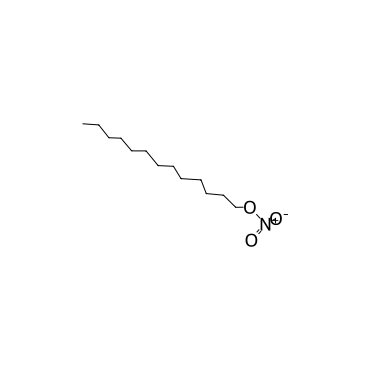 CCCCCCCCCCCCCO[N+](=O)[O-]